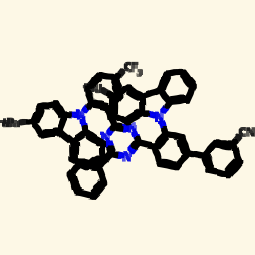 CC(C)(C)c1ccc2c(c1)c1ccccc1n2-c1ccc(C(F)(F)F)cc1-c1nc(-c2ccccc2)nc(-c2ccc(-c3cccc(C#N)c3)cc2-n2c3ccccc3c3cc(C(C)(C)C)ccc32)n1